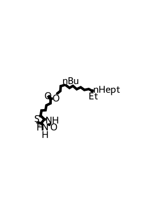 CCCCCCCC(CC)CCCCCCC(CCCC)CCCOC(=O)CCCCC1SC[C@@H]2NC(=O)NC12